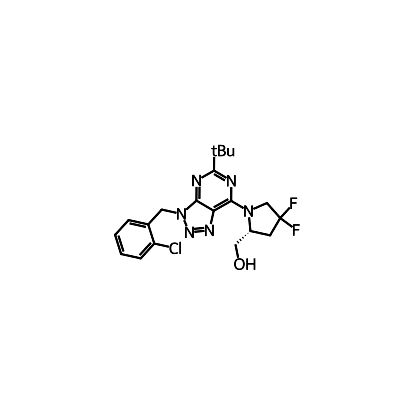 CC(C)(C)c1nc(N2CC(F)(F)C[C@@H]2CO)c2nnn(Cc3ccccc3Cl)c2n1